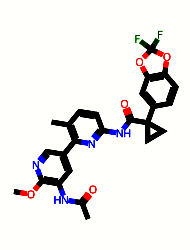 COc1ncc(-c2nc(NC(=O)C3(c4ccc5c(c4)OC(F)(F)O5)CC3)ccc2C)cc1NC(C)=O